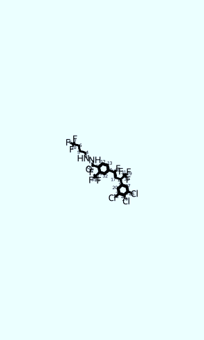 O=C(NNCCCC(F)(F)F)c1ccc(C(F)=CC(c2cc(Cl)c(Cl)c(Cl)c2)C(F)(F)F)cc1C(F)(F)F